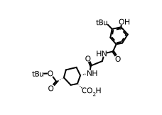 CC(C)(C)OC(=O)[C@@H]1CC[C@H](NC(=O)CNC(=O)c2ccc(O)c(C(C)(C)C)c2)[C@H](C(=O)O)C1